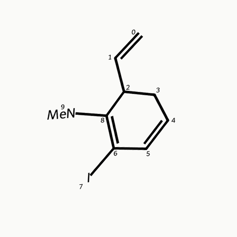 C=CC1CC=CC(I)=C1NC